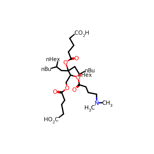 CCCCCCC(CCCC)CC(CC(CCCC)CCCCCC)(OC(=O)CCCC(=O)O)C(COC(=O)CCCC(=O)O)OC(=O)CCCN(C)C